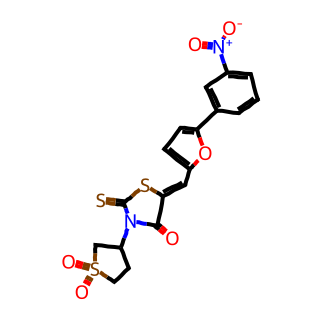 O=C1C(=Cc2ccc(-c3cccc([N+](=O)[O-])c3)o2)SC(=S)N1C1CCS(=O)(=O)C1